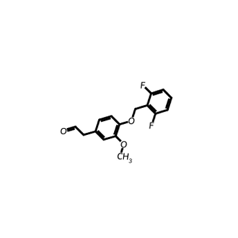 COc1cc(CC=O)ccc1OCc1c(F)cccc1F